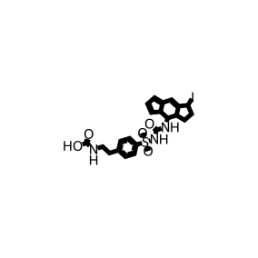 O=C(O)NCCc1ccc(S(=O)(=O)NC(=O)NC2C3C=CC=C3C=C3C(I)CCC32)cc1